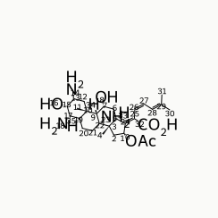 CC(=O)O[C@H]1C[C@@]2(C)[C@@H](C[C@@H](O)[C@H]3[C@@]4(C)C[C@@H](N)[C@@H](O)[C@@H](N)[C@@H]4CC[C@@]32N)/C1=C(\C=C/C=C(C)C)C(=O)O